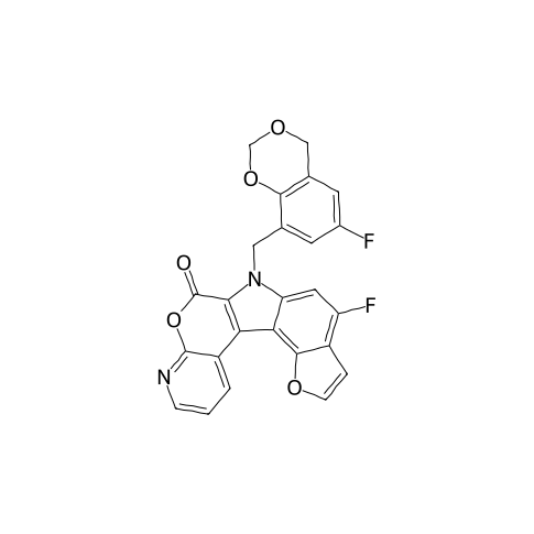 O=c1oc2ncccc2c2c3c4occc4c(F)cc3n(Cc3cc(F)cc4c3OCOC4)c12